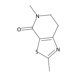 Cc1nc2c(s1)C(=O)N(C)CC2